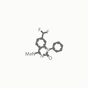 CNc1nc(=O)n(-c2ccccc2)c2cc(C(F)F)ccc12